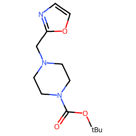 CC(C)(C)OC(=O)N1CCN(Cc2ncco2)CC1